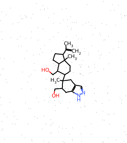 C=C(C)C1CCC2C(CO)C(C3(C)Cc4cn[nH]c4CC3CO)CCC12C